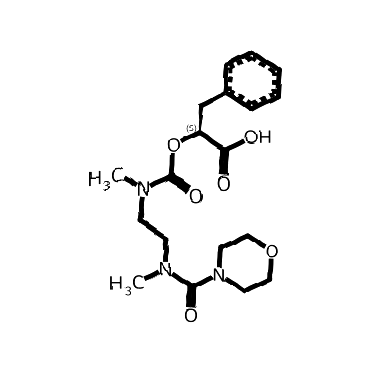 CN(CCN(C)C(=O)N1CCOCC1)C(=O)O[C@@H](Cc1ccccc1)C(=O)O